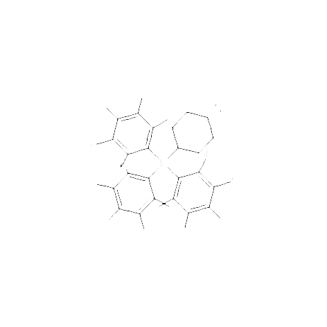 Fc1c(F)c(F)c([B-](c2c(F)c(F)c(F)c(F)c2F)(c2c(F)c(F)c(F)c(F)c2F)C2CCCCC2)c(F)c1F.[NaH]